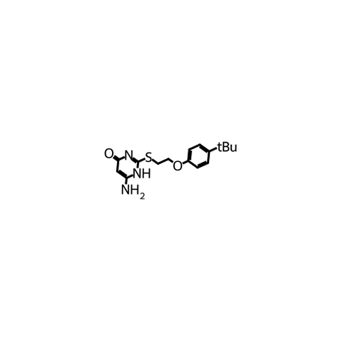 CC(C)(C)c1ccc(OCCSc2nc(=O)cc(N)[nH]2)cc1